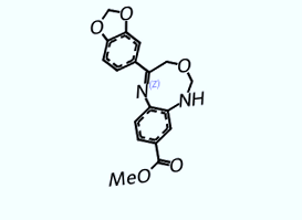 COC(=O)c1ccc2c(c1)NCOC/C(c1ccc3c(c1)OCO3)=N\2